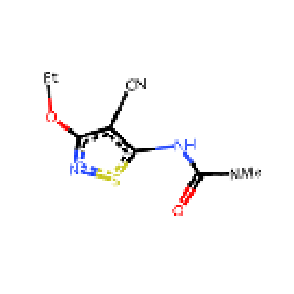 CCOc1nsc(NC(=O)NC)c1C#N